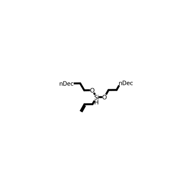 C=CC[SiH](OCCCCCCCCCCCC)OCCCCCCCCCCCC